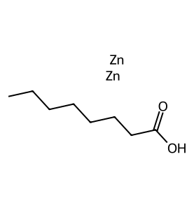 CCCCCCCC(=O)O.[Zn].[Zn]